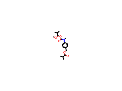 COC(OC(=O)N(C)c1ccc(COC(=O)C(C)C)cc1)C(C)C